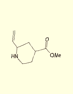 C=CC1CC(C(=O)OC)CCN1